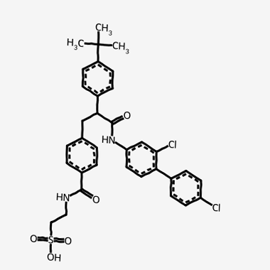 CC(C)(C)c1ccc(C(Cc2ccc(C(=O)NCCS(=O)(=O)O)cc2)C(=O)Nc2ccc(-c3ccc(Cl)cc3)c(Cl)c2)cc1